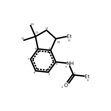 CCC(=O)Nc1cccc2c1C(CC)CC2(C)C